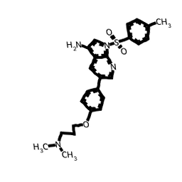 Cc1ccc(S(=O)(=O)n2cc(N)c3cc(-c4ccc(OCCCN(C)C)cc4)cnc32)cc1